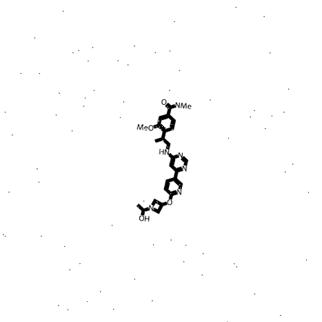 CNC(=O)c1ccc(C(C)CNc2cc(-c3ccc(OC4CN(C(C)O)C4)nc3)ncn2)c(OC)c1